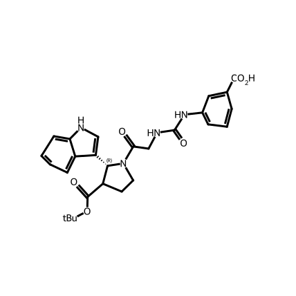 CC(C)(C)OC(=O)C1CCN(C(=O)CNC(=O)Nc2cccc(C(=O)O)c2)[C@H]1c1c[nH]c2ccccc12